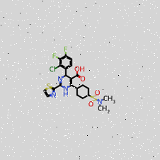 CN(C)S(=O)(=O)C1CCC(C2=C(C(=O)O)C(c3ccc(F)c(F)c3Cl)N=C(c3nccs3)N2)CC1